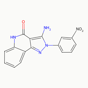 Nc1c2c(=O)[nH]c3ccccc3c2nn1-c1cccc([N+](=O)[O-])c1